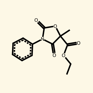 CCOC(=O)C1(C)OC(=O)N(c2ccccc2)C1=O